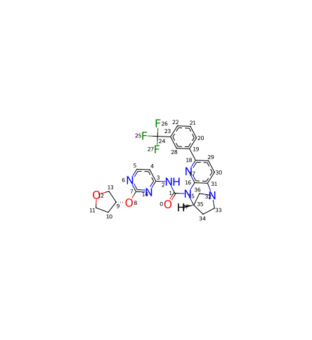 O=C(Nc1ccnc(O[C@@H]2CCOC2)n1)N1c2nc(-c3cccc(C(F)(F)F)c3)ccc2N2CC[C@H]1C2